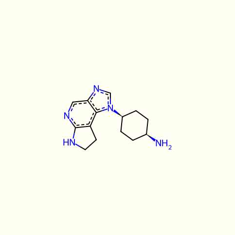 N[C@H]1CC[C@@H](n2cnc3cnc4c(c32)CCN4)CC1